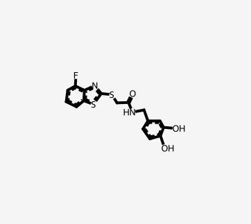 O=C(CSc1nc2c(F)cccc2s1)NCc1ccc(O)c(O)c1